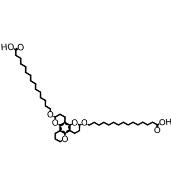 O=C(O)CCCCCCCCCCCCCCOC1CCc2c3c(c4c(c2O1)CCC(OCCCCCCCCCCCCCCC(=O)O)O4)CCCO3